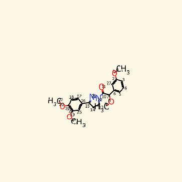 COc1cccc(C(OC)C(=O)N2CCC(c3ccc(OC)c(OC)c3)=N2)c1